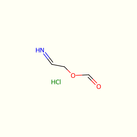 Cl.N=CCOC=O